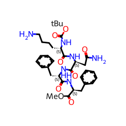 COC(=O)[C@H](Cc1ccccc1)NC(=O)[C@H](Cc1ccccc1)NC(=O)[C@H](CC(N)=O)NC(=O)[C@H](CCCCN)NC(=O)OC(C)(C)C